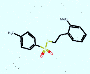 COc1ccccc1CCSS(=O)(=O)c1ccc(C)cc1